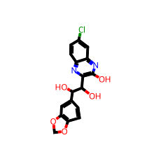 Oc1nc2cc(Cl)ccc2nc1C(O)C(O)c1ccc2c(c1)OCO2